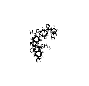 C[C@@H]1CN(C(=O)C2CCCN2)CCN1c1ccc2ncn([C@H](C)c3ccc(Cl)cc3Cl)c2c1